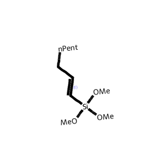 CCCCCC/C=C/[Si](OC)(OC)OC